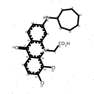 O=C(O)Cn1c2cc(NC3CCCCCC3)ccc2c(=O)c2ccc(Cl)c(Cl)c21